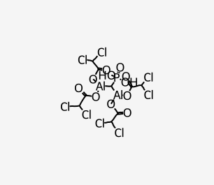 O=C([O][Al]([O]C(=O)C(Cl)Cl)[CH]([Al]([O]C(=O)C(Cl)Cl)[O]C(=O)C(Cl)Cl)P(=O)(O)O)C(Cl)Cl